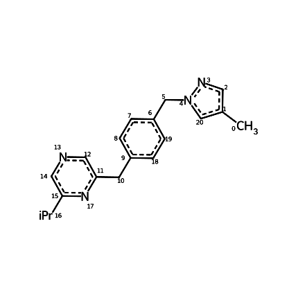 Cc1cnn(Cc2ccc(Cc3cncc(C(C)C)n3)cc2)c1